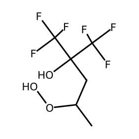 CC(CC(O)(C(F)(F)F)C(F)(F)F)OO